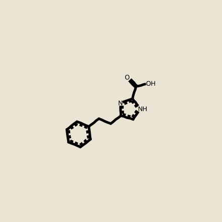 O=C(O)c1nc(CCc2ccccc2)c[nH]1